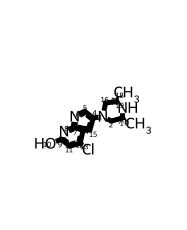 C[C@@H]1CN(c2cnc3nc(O)cc(Cl)c3c2)C[C@H](C)N1